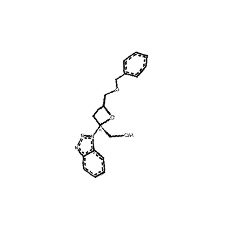 OC[C@@]1(n2nnc3ccccc32)CC(COCc2ccccc2)O1